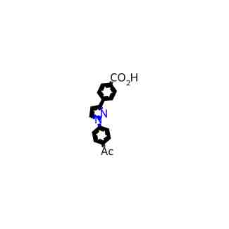 CC(=O)c1ccc(-n2ccc(-c3ccc(C(=O)O)cc3)n2)cc1